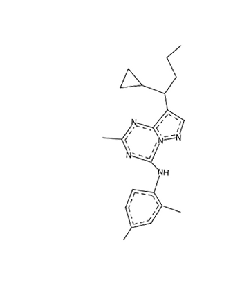 CCCC(c1cnn2c(Nc3ccc(C)cc3C)nc(C)nc12)C1CC1